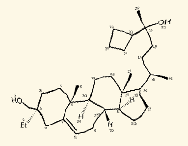 CC[C@]1(O)CC[C@@]2(C)C(=CC[C@H]3[C@@H]4CC[C@H]([C@H](C)CC[C@@](C)(O)C5CCC5)[C@@]4(C)CC[C@@H]32)C1